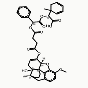 COc1ccc2c3c1O[C@H]1C(OC(=O)CCC(=O)O[C@H](C(=O)O[C@H](C(=O)O)C4(C)C=CC=CC4)c4ccccc4)=CC[C@@]4(O)[C@H](CCC[C@]314)C2